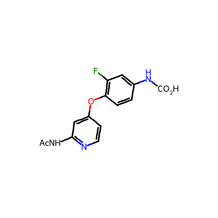 CC(=O)Nc1cc(Oc2ccc(NC(=O)O)cc2F)ccn1